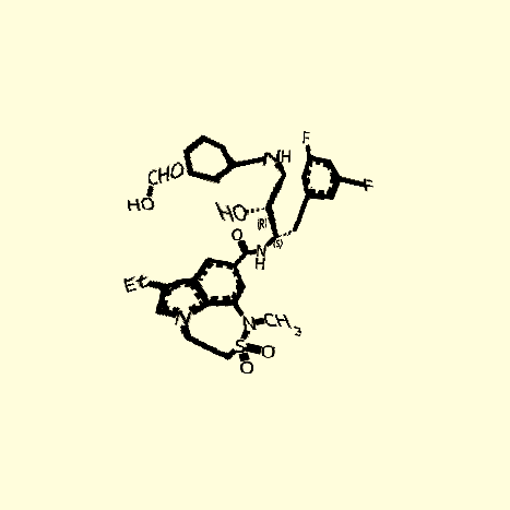 CCc1cn2c3c(cc(C(=O)N[C@@H](Cc4cc(F)cc(F)c4)[C@H](O)CNC4CCCCC4)cc13)N(C)S(=O)(=O)CC2.O=CO